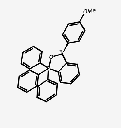 COc1ccc([C@@H]2OP(c3ccccc3)(c3ccccc3)(c3ccccc3)c3ccccc32)cc1